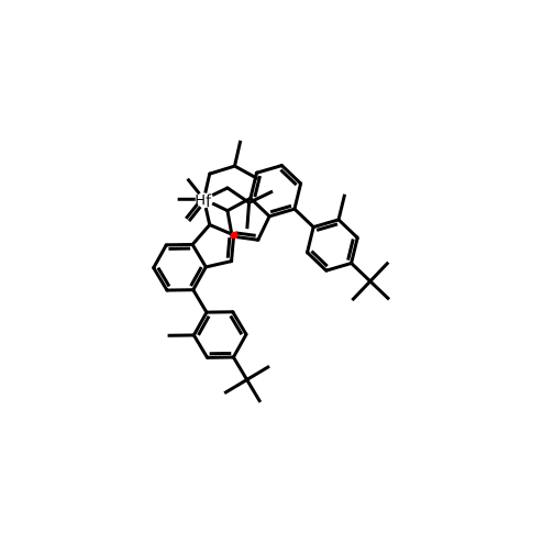 [CH2]=[Hf]([CH3])([CH3])([CH2]C(C)C)([CH2]C(C)C)([CH]1C=Cc2c(-c3ccc(C(C)(C)C)cc3C)cccc21)[CH]1C=Cc2c(-c3ccc(C(C)(C)C)cc3C)cccc21